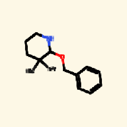 CCCC1(C(C)(C)C)CCCNC1OCc1ccccc1